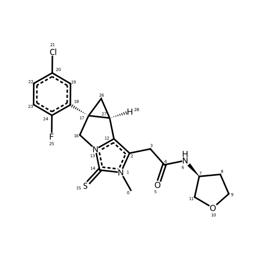 Cn1c(CC(=O)N[C@H]2CCOC2)c2n(c1=S)C[C@@]1(c3cc(Cl)ccc3F)C[C@@H]21